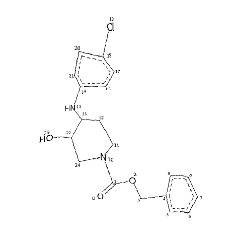 O=C(OCc1ccccc1)N1CCC(Nc2ccc(Cl)cc2)C(O)C1